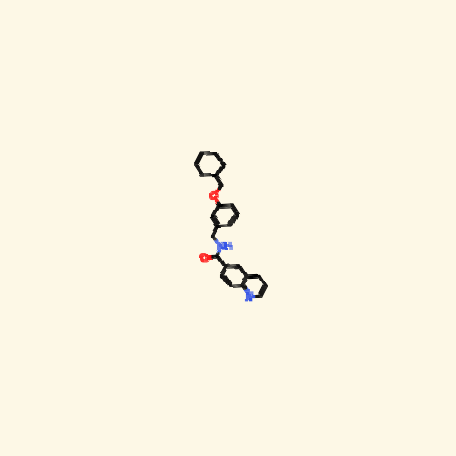 O=C(NCc1cccc(OCC2CCCCC2)c1)c1ccc2ncccc2c1